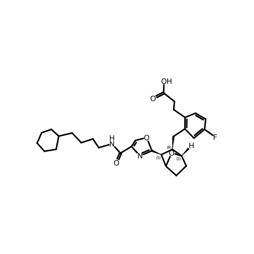 O=C(O)CCc1ccc(F)cc1C[C@H]1[C@@H]2CCC(O2)[C@H]1c1nc(C(=O)NCCCCC2CCCCC2)co1